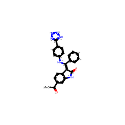 COC(=O)c1ccc2c(c1)NC(=O)C2=C(Nc1ccc(-c2nnn[nH]2)cc1)c1ccccc1